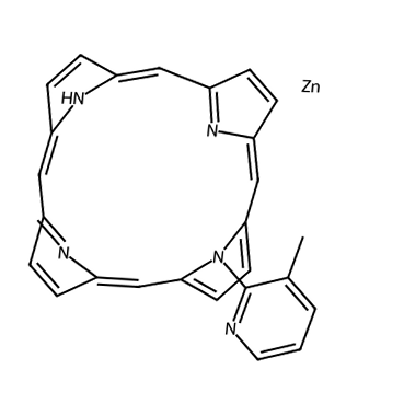 Cc1cccnc1-n1c2ccc1cc1nc(cc3ccc(cc4nc(c2)C=C4)[nH]3)C=C1.[Zn]